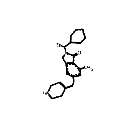 CCC(C1CCCCC1)N1Cc2cc(CC3CCNCC3)cc(C)c2C1=O